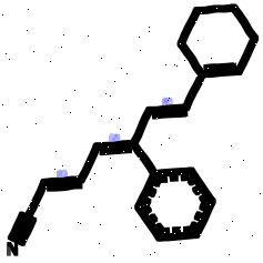 N#C/C=C/C=C(/C=C/C1=CCCCC1)c1ccccc1